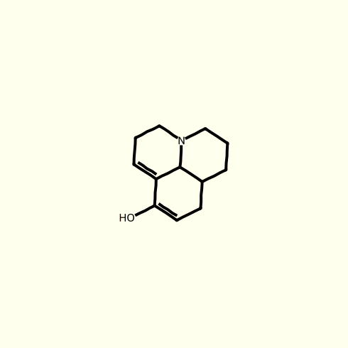 OC1=CCC2CCCN3CCC=C1C23